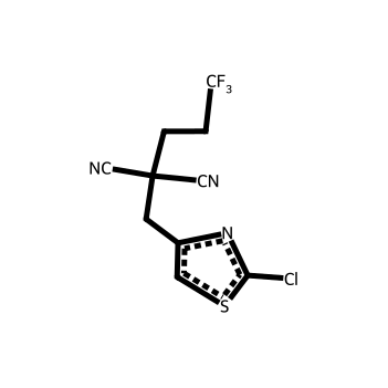 N#CC(C#N)(CCC(F)(F)F)Cc1csc(Cl)n1